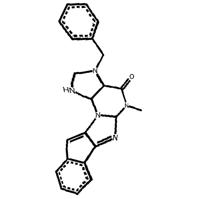 CN1C(=O)C2C(NCN2Cc2ccccc2)N2C3=Cc4ccccc4C3=NC12